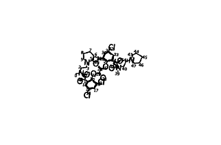 CN(CCN1CCCCC1)S(=O)(=O)c1cc(Cl)cc(Cl)c1OC(=O)C(=O)Oc1c(Cl)cc(Cl)cc1S(=O)(=O)N(C)CCN1CCCCC1